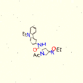 CCO/N=C1\C[C@@H](C(=O)Nc2ccc3c(c2)c2ccccc2n3CC)N(C(C)=O)C1